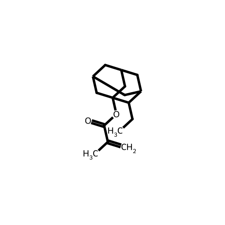 C=C(C)C(=O)OC12CC3CC(CC(C3)C1CC)C2